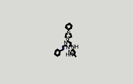 Cc1cc(Nc2cc(N3CCN(c4ccccc4)CC3)nc(/C=C/c3ccccc3)n2)n[nH]1